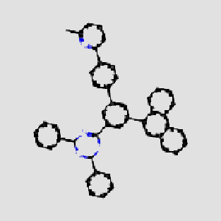 Cc1cccc(-c2ccc(-c3cc(C4=NC(c5ccccc5)NC(c5ccccc5)N4)cc(-c4cc5ccccc5c5ccccc45)c3)cc2)n1